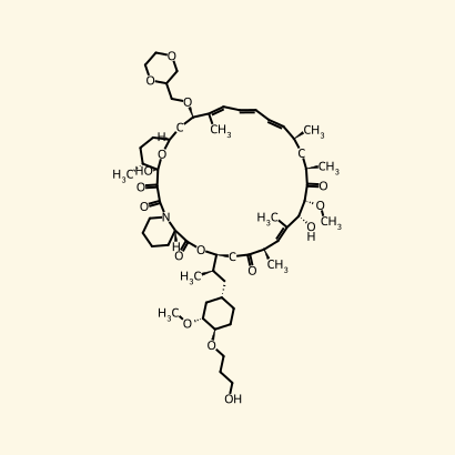 CO[C@@H]1C[C@H](C[C@@H](C)[C@@H]2CC(=O)[C@H](C)/C=C(\C)[C@@H](O)[C@@H](OC)C(=O)[C@H](C)C[C@H](C)/C=C/C=C/C=C(\C)[C@H](OCC3COCCO3)C[C@@H]3CC[C@@H](C)[C@@](O)(O3)C(=O)C(=O)N3CCCC[C@H]3C(=O)O2)CC[C@H]1OCCCO